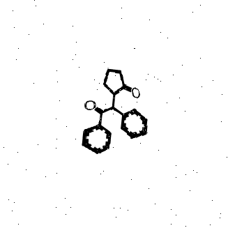 O=C1CCCC1C(C(=O)c1ccccc1)c1ccccc1